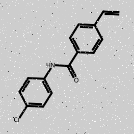 C=Cc1ccc(C(=O)Nc2ccc(Cl)cc2)cc1